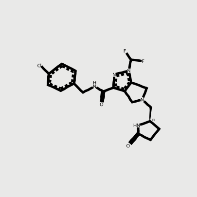 O=C1CC[C@H](CN2Cc3c(C(=O)NCc4ccc(Cl)cc4)nn(C(F)F)c3C2)N1